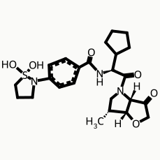 C[C@@H]1CN(C(=O)[C@@H](NC(=O)c2ccc(N3CCCS3(O)O)cc2)C2CCCC2)[C@@H]2C(=O)CO[C@H]12